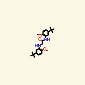 COc1ccc(C(C)(C)C)cc1NCC(=O)Nc1cc(C(C)(C)C)ccc1OC